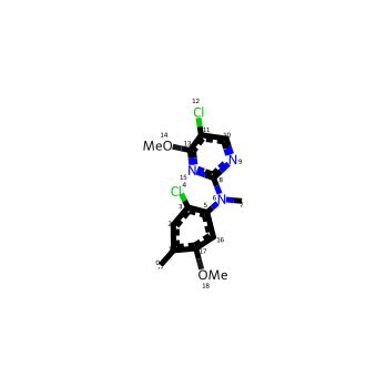 [CH]c1cc(Cl)c(N(C)c2ncc(Cl)c(OC)n2)cc1OC